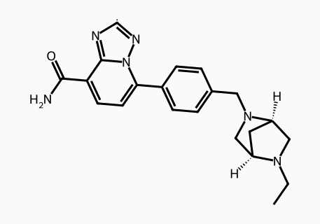 CCN1C[C@H]2C[C@@H]1CN2Cc1ccc(-c2ccc(C(N)=O)c3n[c]nn23)cc1